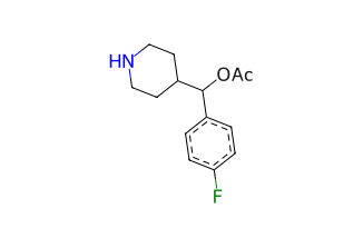 CC(=O)OC(c1ccc(F)cc1)C1CCNCC1